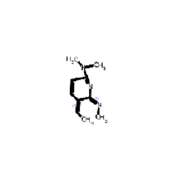 C/C=C1/C=CC(N(C)C)=N/C1=N/C